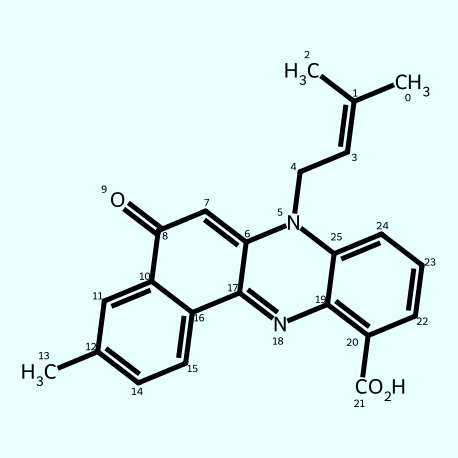 CC(C)=CCn1c2cc(=O)c3cc(C)ccc3c-2nc2c(C(=O)O)cccc21